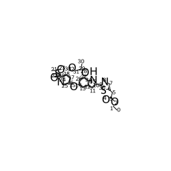 CCOC(=O)CC1CN=C(c2cc3cc(Oc4ccc(S(C)(=O)=O)nc4)cc(OC(C)COC)c3[nH]2)S1